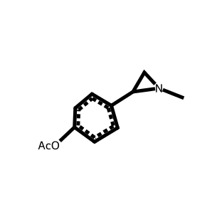 CC(=O)Oc1ccc(C2CN2C)cc1